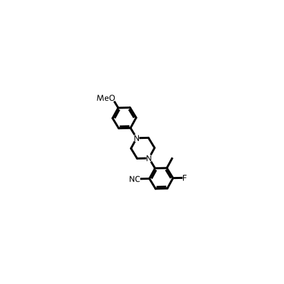 COc1ccc(N2CCN(c3c(C#N)ccc(F)c3C)CC2)cc1